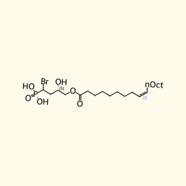 CCCCCCCC/C=C\CCCCCCCC(=O)OC[C@@H](O)CC(Br)P(=O)(O)O